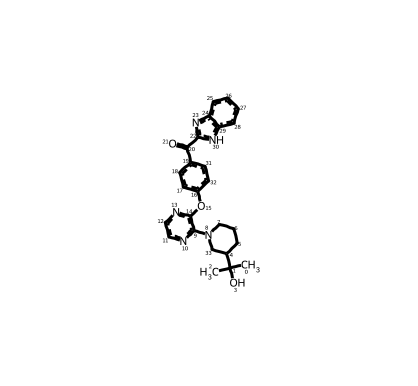 CC(C)(O)C1CCCN(c2nccnc2Oc2ccc(C(=O)c3nc4ccccc4[nH]3)cc2)C1